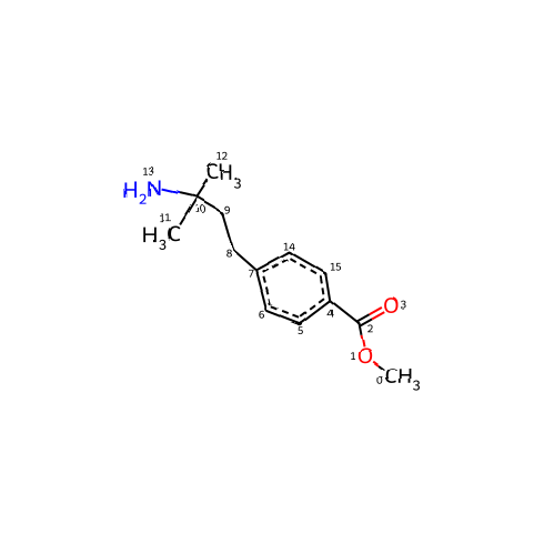 COC(=O)c1ccc(CCC(C)(C)N)cc1